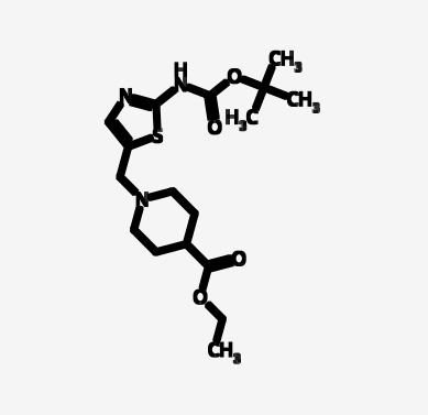 CCOC(=O)C1CCN(Cc2cnc(NC(=O)OC(C)(C)C)s2)CC1